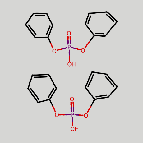 O=P(O)(Oc1ccccc1)Oc1ccccc1.O=P(O)(Oc1ccccc1)Oc1ccccc1